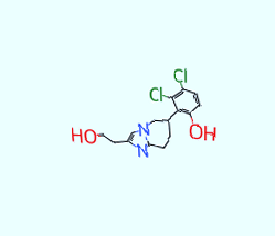 OCCc1cn2c(n1)CCC(c1c(O)ccc(Cl)c1Cl)C2